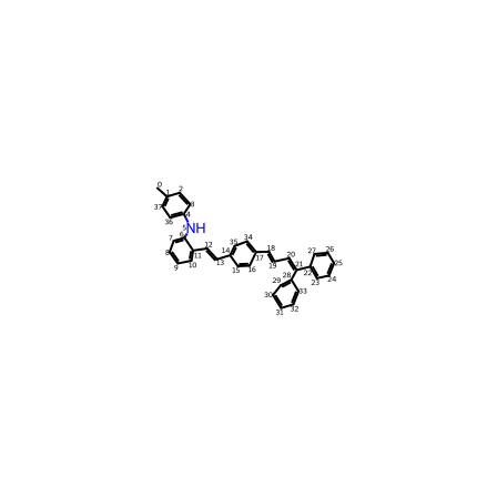 Cc1ccc(Nc2ccccc2C=Cc2ccc(C=CC=C(c3ccccc3)c3ccccc3)cc2)cc1